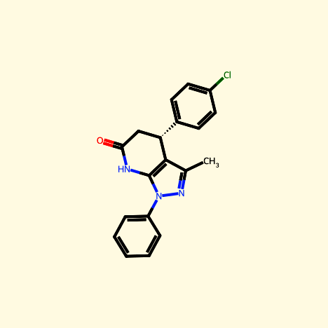 Cc1nn(-c2ccccc2)c2c1[C@@H](c1ccc(Cl)cc1)CC(=O)N2